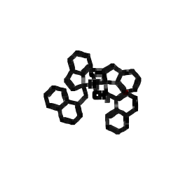 [CH3][Hf]([CH3])([C]1(Cc2cccc3ccccc23)C=Cc2ccccc21)[C]1(Cc2cccc3ccccc23)C=Cc2ccccc21